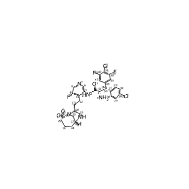 N[C@H](C(=O)Nc1cncc(F)c1CC[C@H]1CN[C@@H]2CCCS(=O)(=O)N1C2)[C@@H](c1ccc(Cl)cc1)c1cc(F)c(Cl)c(F)c1